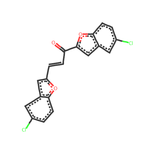 O=C(C=Cc1cc2cc(Cl)ccc2o1)c1cc2cc(Cl)ccc2o1